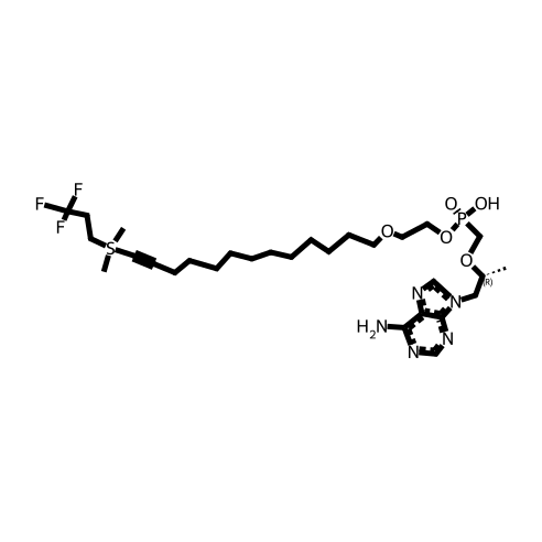 C[C@H](Cn1cnc2c(N)ncnc21)OCP(=O)(O)OCCOCCCCCCCCCCCC#CS(C)(C)CCC(F)(F)F